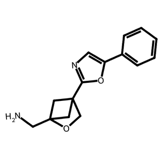 NCC12CC(c3ncc(-c4ccccc4)o3)(CO1)C2